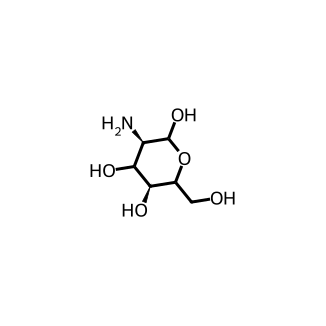 N[C@H]1C(O)OC(CO)[C@@H](O)C1O